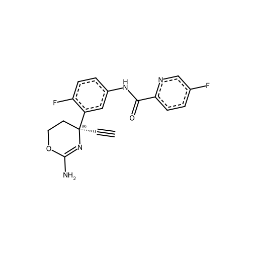 C#C[C@@]1(c2cc(NC(=O)c3ccc(F)cn3)ccc2F)CCOC(N)=N1